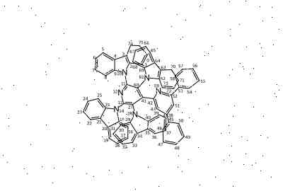 C1=Cc2c(c3ccccc3n2-c2nc(-n3c4ccccc4c4ccccc43)c(-n3c4ccccc4c4ccccc43)c(-c3cc(-c4ccccc4)cc(-c4ccccc4)n3)c2-n2c3c(c4ccccc42)CCC=C3)CC1